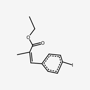 CCOC(=O)C(C)=Cc1ccc(I)cc1